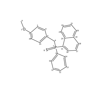 COc1ccc(CP(=S)(c2ccccc2)c2cccc3ccccc23)cc1